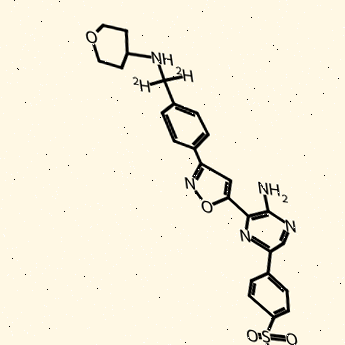 [2H]C([2H])(NC1CCOCC1)c1ccc(-c2cc(-c3nc(-c4ccc(S(=O)(=O)C(C)C)cc4)cnc3N)on2)cc1